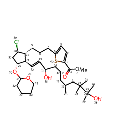 COC(=O)c1ccc(CCC[C@@H]2[C@@H](/C=C/[C@@H](O)CCC[C@H](C)CC(C)(C)[Si](C)(C)O)[C@H](OC3CCCCO3)C[C@H]2Cl)s1